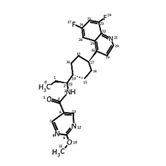 CC[C@H](NC(=O)c1cnc(OC)nc1)[C@H]1CC[C@H](c2ccnc3c(F)cc(F)cc32)CC1